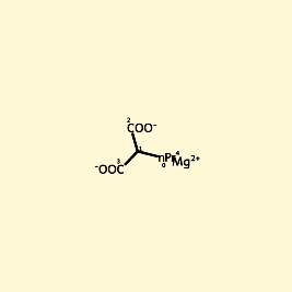 CCCC(C(=O)[O-])C(=O)[O-].[Mg+2]